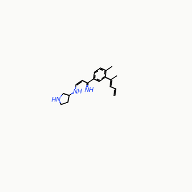 C=C/C=C(\C)c1cc(C(=N)/C=C\NC2CCNC2)ccc1C